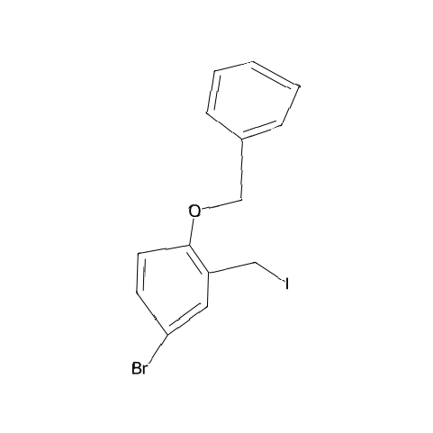 Brc1ccc(OCc2ccccc2)c(CI)c1